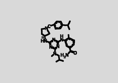 Cc1ccc(C(N)=O)cc1Nc1nc(N[C@H]2CCN(Cc3ccc(C(C)C)cc3)C2)nc(N(C)CC(C)C)n1